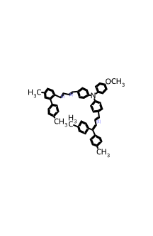 COc1ccc(N(c2ccc(/C=C/C=C(c3ccc(C)cc3)c3ccc(C)cc3)cc2)c2ccc(/C=C/C=C/c3ccc(C)cc3-c3ccc(C)cc3)cc2)cc1